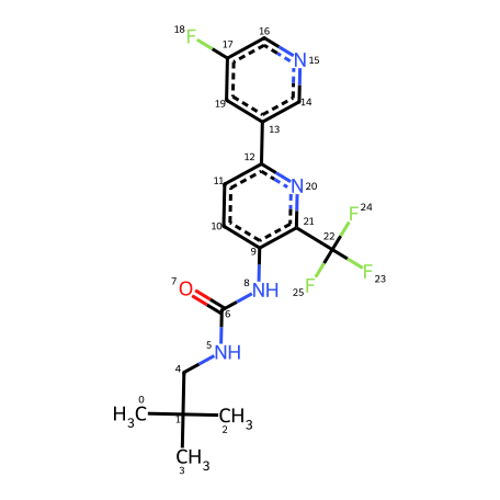 CC(C)(C)CNC(=O)Nc1ccc(-c2cncc(F)c2)nc1C(F)(F)F